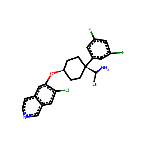 CCC(N)[C@]1(c2cc(F)cc(F)c2)CC[C@H](Oc2cc3ccncc3cc2Cl)CC1